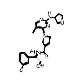 Cc1cnc(N[C@H]2CCOC2)nc1N1CC=C(C(=O)N[C@H](CO)c2cccc(Cl)c2)C1